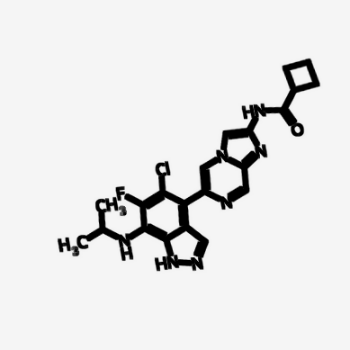 CC(C)Nc1c(F)c(Cl)c(-c2cn3cc(NC(=O)C4CCC4)nc3cn2)c2cn[nH]c12